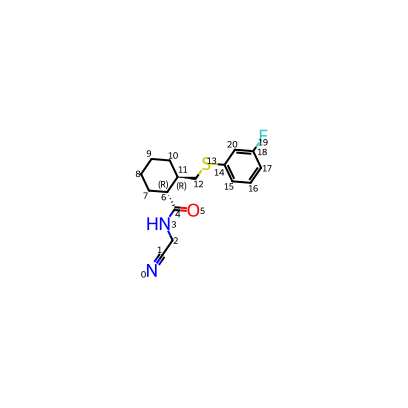 N#CCNC(=O)[C@@H]1CCCC[C@H]1CSc1cccc(F)c1